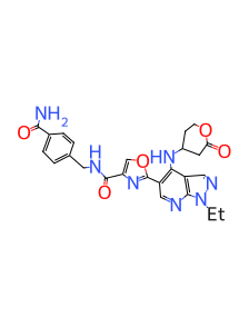 CCn1ncc2c(NC3CCOC(=O)C3)c(-c3nc(C(=O)NCc4ccc(C(N)=O)cc4)co3)cnc21